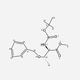 COC(=O)[C@H](NC(=O)OC(C)(C)C)[C@H](C)OCc1ccccc1